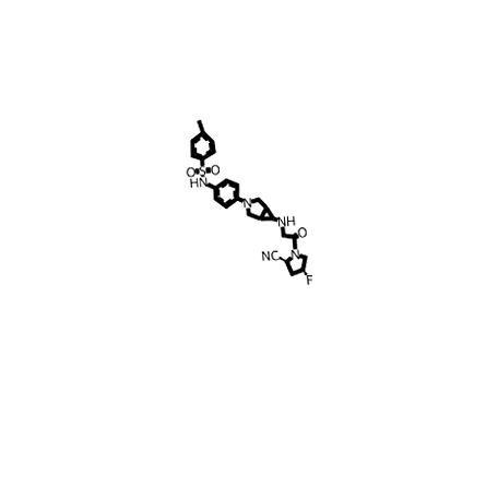 Cc1ccc(S(=O)(=O)Nc2ccc(N3CC4C(C3)C4NCC(=O)N3C[C@@H](F)C[C@H]3C#N)cc2)cc1